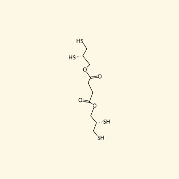 O=C(CCC(=O)OC[C@H](S)CS)OC[C@H](S)CS